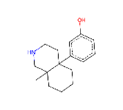 CC12CCCCC1(c1cccc(O)c1)CCNC2